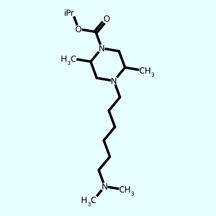 CC(C)OC(=O)N1CC(C)N(CCCCCCN(C)C)CC1C